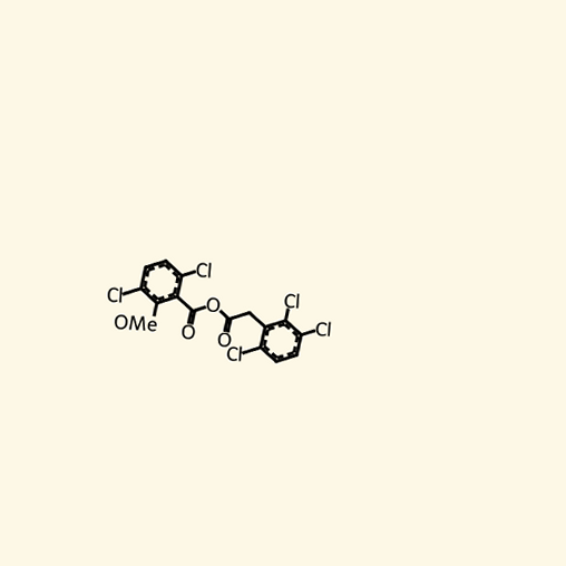 COc1c(Cl)ccc(Cl)c1C(=O)OC(=O)Cc1c(Cl)ccc(Cl)c1Cl